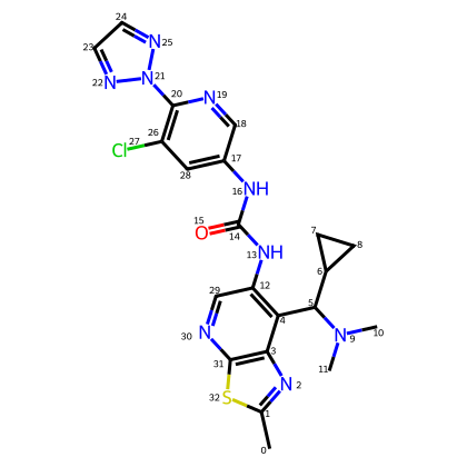 Cc1nc2c(C(C3CC3)N(C)C)c(NC(=O)Nc3cnc(-n4nccn4)c(Cl)c3)cnc2s1